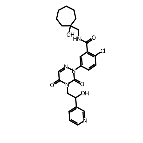 O=C(NCC1(O)CCCCCC1)c1cc(-n2ncc(=O)n(CC(O)c3cccnc3)c2=O)ccc1Cl